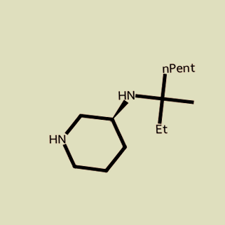 CCCCCC(C)(CC)N[C@H]1CCCNC1